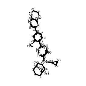 C[C@]12CCC[C@H](C[C@@H](N(c3cnc(-c4ccc(-c5cnc6c(n5)OCCO6)cc4O)nn3)C3CC3)C1)N2